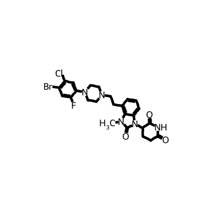 Cn1c(=O)n(C2CCC(=O)NC2=O)c2cccc(CCN3CCN(c4cc(Cl)c(Br)cc4F)CC3)c21